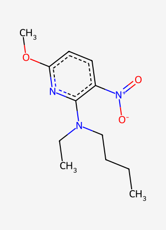 CCCCN(CC)c1nc(OC)ccc1[N+](=O)[O-]